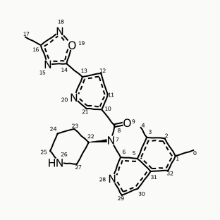 Cc1cc(C)c2c(N(C(=O)c3ccc(-c4nc(C)no4)nc3)[C@@H]3CCCNC3)nccc2c1